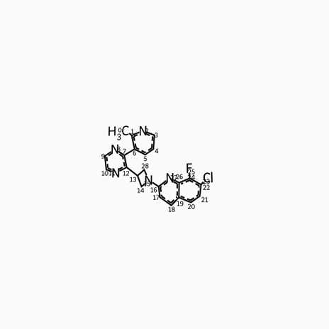 Cc1ncccc1-c1nccnc1C1CN(c2ccc3ccc(Cl)c(F)c3n2)C1